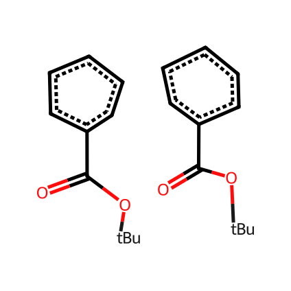 CC(C)(C)OC(=O)c1ccccc1.CC(C)(C)OC(=O)c1ccccc1